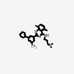 Cc1ccc(C)c2c(NCCCN(C)C)nc(-c3cc(-c4ccccc4)cc(C(F)(F)F)c3)nc12